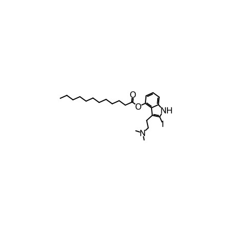 CCCCCCCCCCCC(=O)Oc1cccc2[nH]c(I)c(CCN(C)C)c12